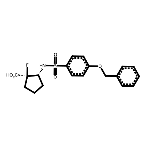 O=C(O)[C@@]1(F)CCC[C@H]1NS(=O)(=O)c1ccc(OCc2ccccc2)cc1